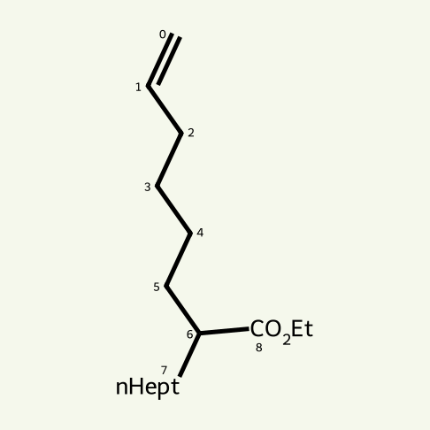 C=CCCCCC(CCCCCCC)C(=O)OCC